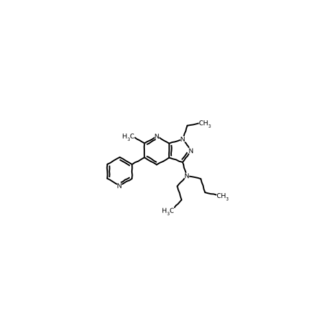 CCCN(CCC)c1nn(CC)c2nc(C)c(-c3cccnc3)cc12